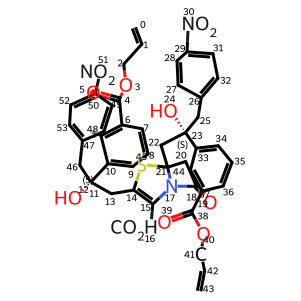 C=CCOC(=O)c1cccc([C@@](O)(CC2=C(C(=O)O)N3C(=O)CC3(C[C@@](O)(Cc3ccc([N+](=O)[O-])cc3)c3cccc(C(=O)OCC=C)c3)S2)Cc2ccc([N+](=O)[O-])cc2)c1